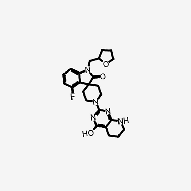 O=C1N(CC2CCCO2)c2cccc(F)c2C12CCN(c1nc(O)c3c(n1)NCCC3)CC2